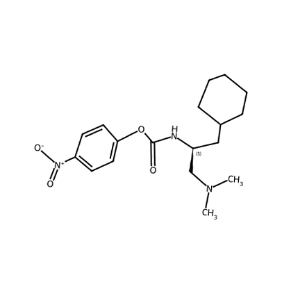 CN(C)C[C@H](CC1CCCCC1)NC(=O)Oc1ccc([N+](=O)[O-])cc1